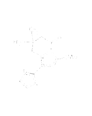 CSc1sc(-c2nccs2)c2c1C(=O)CC(C)(C)C2